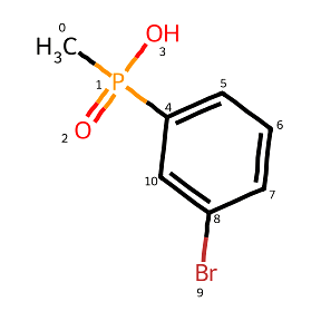 CP(=O)(O)c1cccc(Br)c1